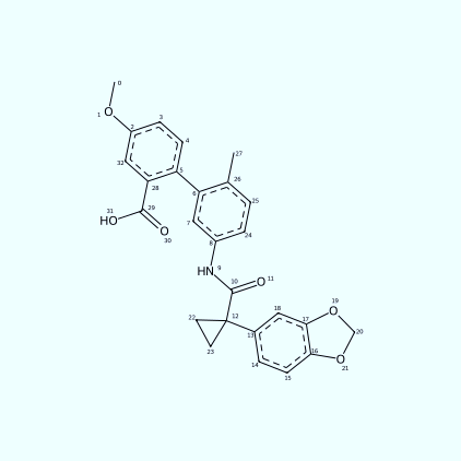 COc1ccc(-c2cc(NC(=O)C3(c4ccc5c(c4)OCO5)CC3)ccc2C)c(C(=O)O)c1